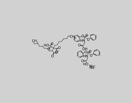 CCCCCCCCC(C(=O)[O-])C(CCCCCCCC)(C(=O)[O-])S(=O)(=O)O.O=C(O)CNP(=O)(Oc1ccccc1)Oc1ccccc1.O=C(O)CNP(=O)(Oc1ccccc1)Oc1ccccc1.[Na+].[Na+]